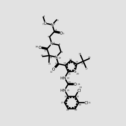 CON(C)C(=O)CN1CCN(C(=O)c2cc(C(C)(C)C)sc2NC(=O)Nc2cccc(Cl)c2Cl)C(C)(C)C1=O